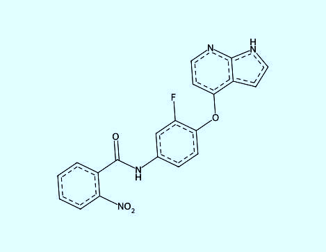 O=C(Nc1ccc(Oc2ccnc3[nH]ccc23)c(F)c1)c1ccccc1[N+](=O)[O-]